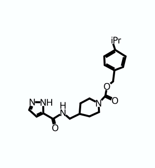 CC(C)c1ccc(COC(=O)N2CCC(CNC(=O)c3ccn[nH]3)CC2)cc1